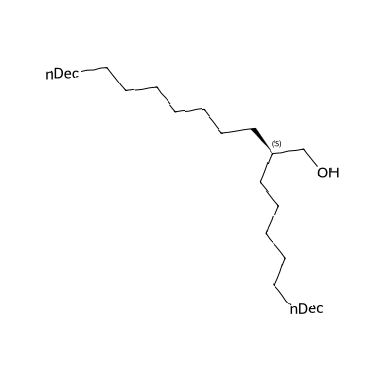 CCCCCCCCCCCCCCCCC[C@@H](CO)CCCCCCCCCCCCCCC